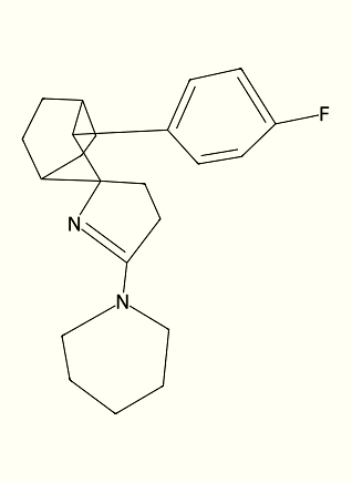 Fc1ccc(C2C3CCC(CC3)C23CCC(N2CCCCC2)=N3)cc1